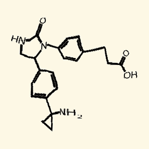 NC1(c2ccc(C3CNC(=O)N3c3ccc(CCC(=O)O)cc3)cc2)CC1